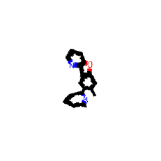 Cc1cc2oc3cccnc3c2cc1-c1ccccn1